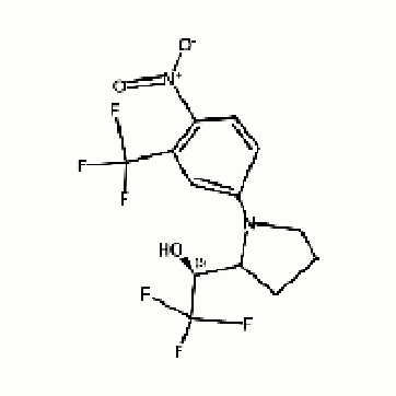 O=[N+]([O-])c1ccc(N2CCCC2[C@H](O)C(F)(F)F)cc1C(F)(F)F